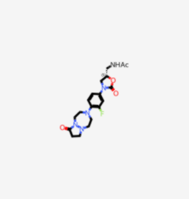 CC(=O)NC[C@H]1CN(c2ccc(N3CCN4CCC(=O)N4CC3)c(F)c2)C(=O)O1